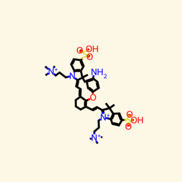 CC1(C)C(/C=C/C2=C(Oc3ccc(N)cc3)C(=C/C=C3/N(CCC[N+](C)(C)C)c4ccc(S(=O)(=O)O)cc4C3(C)C)/CCC2)=[N+](CCC[N+](C)(C)C)c2ccc(S(=O)(=O)O)cc21